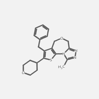 Cc1nnc2n1-c1sc(C3CCOCC3)c(Cc3ccccc3)c1COC2